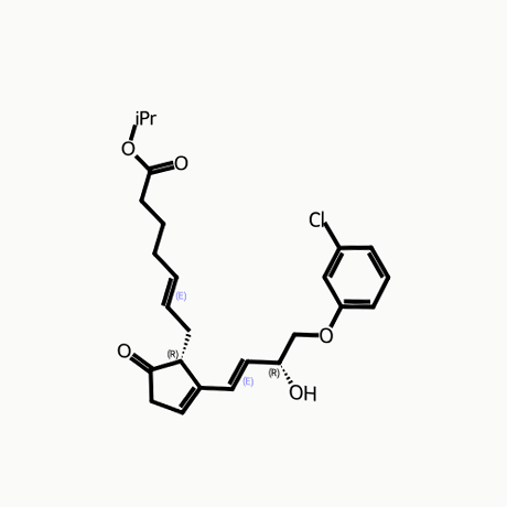 CC(C)OC(=O)CCC/C=C/C[C@H]1C(=O)CC=C1/C=C/[C@@H](O)COc1cccc(Cl)c1